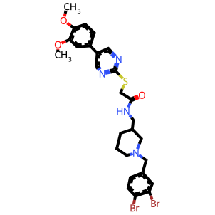 COc1ccc(-c2cnc(SCC(=O)NCC3CCCN(Cc4ccc(Br)c(Br)c4)C3)nc2)cc1OC